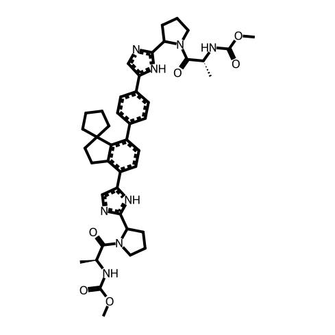 COC(=O)N[C@@H](C)C(=O)N1CCCC1c1ncc(-c2ccc(-c3ccc(-c4cnc(C5CCCN5C(=O)[C@@H](C)NC(=O)OC)[nH]4)cc3)c3c2CCC32CCCC2)[nH]1